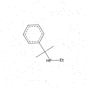 CCPC(C)(C)c1ccccc1